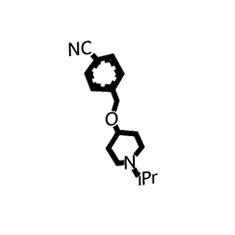 CC(C)N1CCC(OCc2ccc(C#N)cc2)CC1